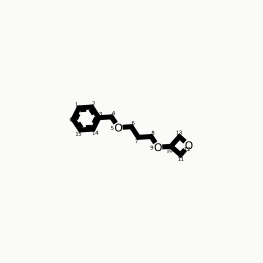 c1ccc(COCCCOC2COC2)cc1